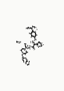 Cl.N=C(N)c1ccc(CNC(C(=O)NCC(=O)N2CCN(Cc3ccc4c(c3)OCO4)CC2)c2cc[nH]n2)cc1